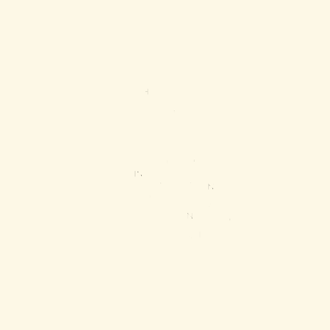 Cn1cc(S(=O)(=O)Nc2cc(Cl)c(O)c3ccccc23)c(=O)n(C)c1=O